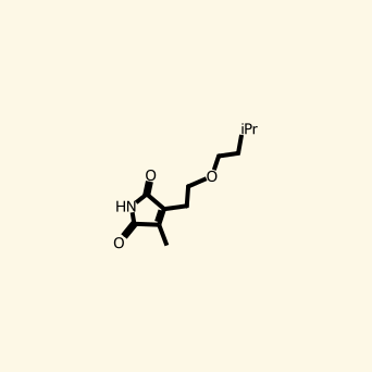 CC1=C(CCOCCC(C)C)C(=O)NC1=O